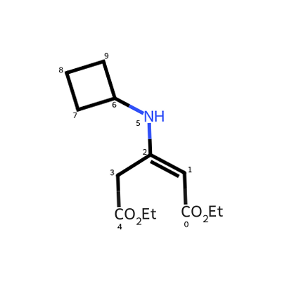 CCOC(=O)C=C(CC(=O)OCC)NC1CCC1